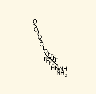 COCCOCCOCCOCCOCC(F)(F)C(F)(F)C(F)(F)C(F)(F)CNC(=N)N